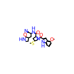 COc1cccc2[nH]c(C(=O)N3CC(SC)CC3C(=O)NC(C#N)CC3CCNC3=O)cc12